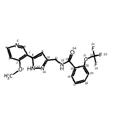 COc1ccncc1-c1cc(CNC(=O)c2ccccc2OC(F)(F)F)n[nH]1